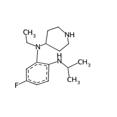 CCN(c1cc(F)ccc1NC(C)C)C1CCNCC1